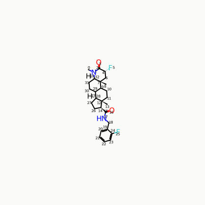 CN1C(=O)[C@H](F)C[C@]2(C)C3CC[C@]4(C)[C@@H](C(=O)NCc5ccccc5F)CC[C@H]4C3CC[C@@H]12